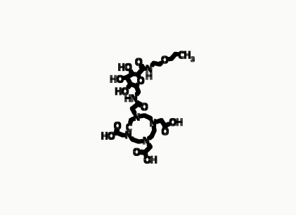 CCCOCCNC(=O)C1OC(CNC(=O)CN2CCN(CC(=O)O)CCN(CC(=O)O)CCN(CC(=O)O)CC2)C(O)C(O)C1O